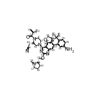 C=C(F)C(=O)N1CCN(c2nc(OC[C@@H]3CCCN3C)nc3cc(-c4cc(N)ccc4C(F)(F)F)c4c(c23)OCC4)C[C@@H]1CC#N